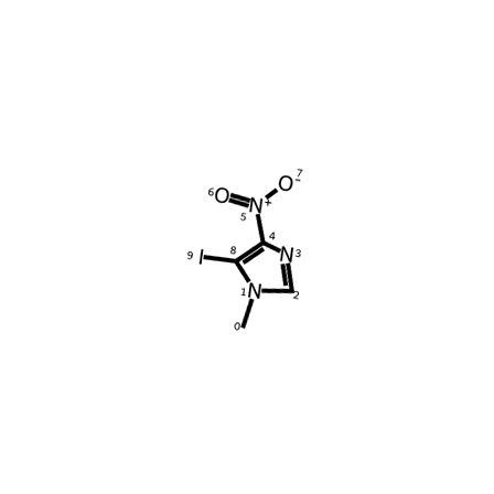 Cn1cnc([N+](=O)[O-])c1I